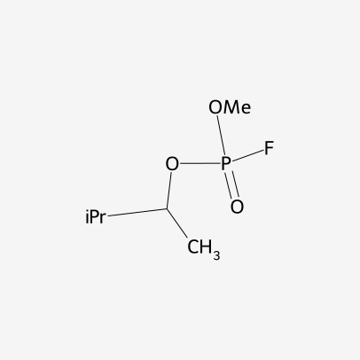 COP(=O)(F)OC(C)C(C)C